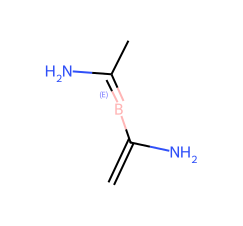 C=C(N)/B=C(\C)N